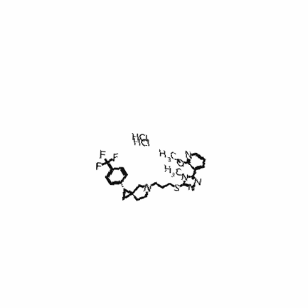 COc1ncccc1-c1nnc(SCCCN2CC[C@]3(C[C@@H]3c3ccc(C(F)(F)F)cc3)C2)n1C.Cl.Cl